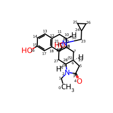 CCN1C(=O)C[C@@H]2C[C@@]3(O)[C@H]4Cc5ccc(O)cc5[C@@]3(CCN4CC3CC3)C[C@@H]21